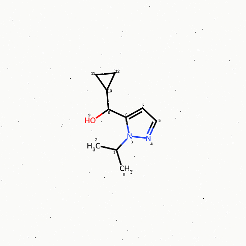 CC(C)n1nccc1C(O)C1CC1